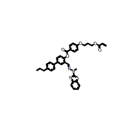 C=CC(=O)OCCCOc1ccc(C(=O)Oc2ccc(-c3ccc(CCC)cc3)cc2/C=N/N(C)c2nc3ccccc3s2)cc1